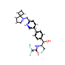 O=C(N[C@H](CF)[C@H](O)c1ccc(-c2ccc(CN3CCCC34CCC4)nc2)cc1)C(F)F